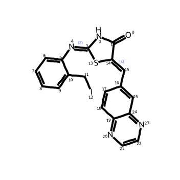 O=C1N/C(=N/c2ccccc2CI)S/C1=C\c1ccc2nccnc2c1